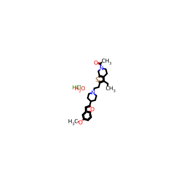 CCc1c(CCN2CCC(c3cc4cc(OC)ccc4o3)CC2)sc2c1CCN(C(C)=O)C2.Cl.O